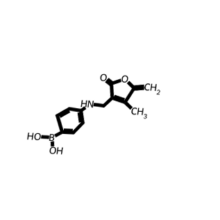 C=C1OC(=O)C(CNc2ccc(B(O)O)cc2)=C1C